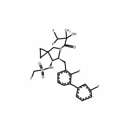 CC(O)(C(=O)N1CC2(CC2)[C@H](NS(=O)(=O)CF)[C@@H]1Cc1cccc(-c2cccc(F)c2)c1F)C(F)F